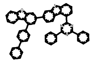 c1ccc(-c2ccc(-c3cc(-c4ccc5c(c4)sc4cccc(-c6nc(-c7ccccc7)nc(-c7ccccc7)n6)c45)cc4oc5ccccc5c34)cc2)cc1